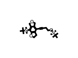 CC(C)(C)[Si](C)(C)OCCC#Cc1c2c(c([Si](C)(C)C(C)(C)C)c3c1CCO3)COC2